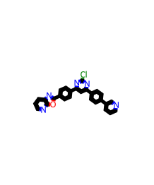 Clc1nc(-c2ccc(-c3cccnc3)cc2)cc(-c2ccc(-c3nc4cccnc4o3)cc2)n1